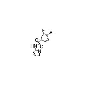 O=S(=O)(Nc1nccs1)c1ccc(Br)c(F)c1